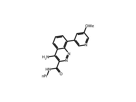 CCCNC(=O)c1nnc2c(-c3cncc(OC)c3)cccc2c1N